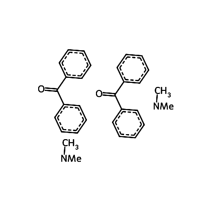 CNC.CNC.O=C(c1ccccc1)c1ccccc1.O=C(c1ccccc1)c1ccccc1